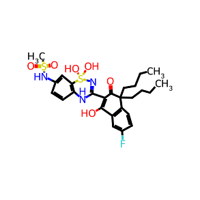 CCCCC1(CCCC)C(=O)C(C2=NS(O)(O)c3cc(NS(C)(=O)=O)ccc3N2)=C(O)c2cc(F)ccc21